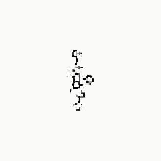 CN1CCCC1CCNC(=O)c1cn2c3c(c(N4CCC(c5cnccn5)C4)c(F)cc3c1=O)Oc1ccccc1-2